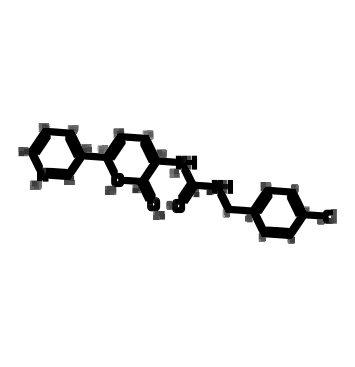 O=C(NCc1ccc(Cl)cc1)Nc1ccc(-c2cccnc2)oc1=O